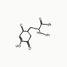 CCCNC(CC1CC(=O)C(O)=CC1=O)C(=O)CCC